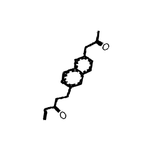 C=CC(=O)CCc1ccc2cc(CC(C)=O)ccc2c1